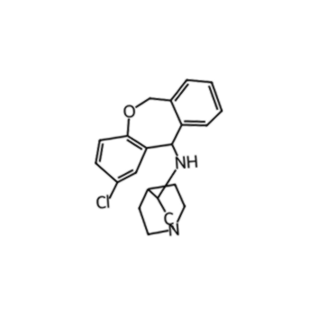 Clc1ccc2c(c1)C(NC1CN3CCC1CC3)c1ccccc1CO2